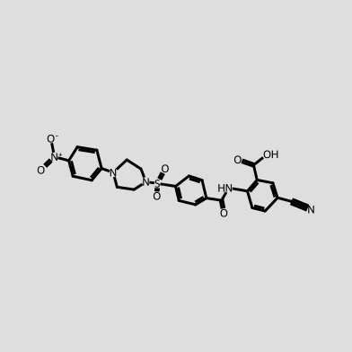 N#Cc1ccc(NC(=O)c2ccc(S(=O)(=O)N3CCN(c4ccc([N+](=O)[O-])cc4)CC3)cc2)c(C(=O)O)c1